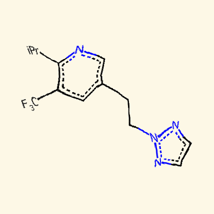 CC(C)c1ncc(CCn2nccn2)cc1C(F)(F)F